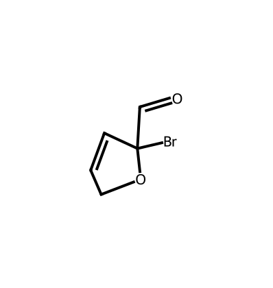 O=CC1(Br)C=CCO1